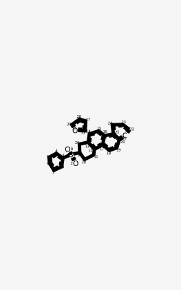 O=S(=O)(c1ccccc1)C1CCc2c(ccc3c2ccc2ccccc23)C1.c1ccoc1